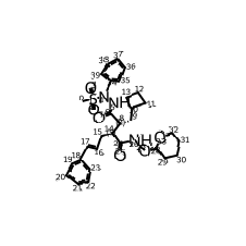 CS(=O)(=O)N(NC(=O)[C@H](CC1CCC1)[C@H](CC=Cc1ccccc1)C(=O)NOC1CCCCO1)c1ccccc1